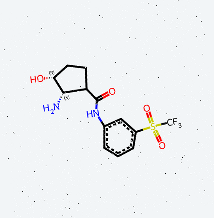 N[C@H]1C(C(=O)Nc2cccc(S(=O)(=O)C(F)(F)F)c2)CC[C@H]1O